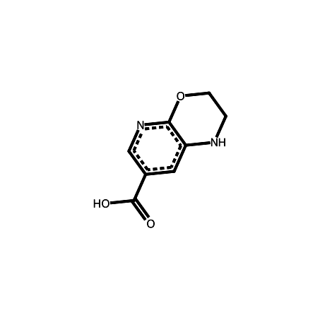 O=C(O)c1cnc2c(c1)NCCO2